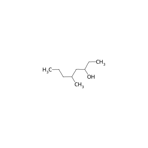 CCCC(C)CC(O)CC